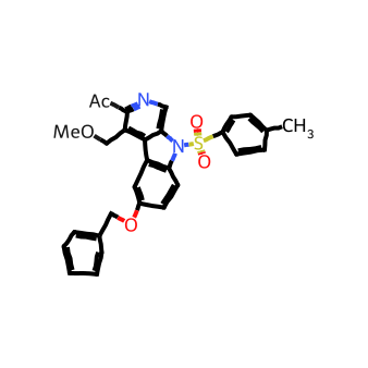 COCc1c(C(C)=O)ncc2c1c1cc(OCc3ccccc3)ccc1n2S(=O)(=O)c1ccc(C)cc1